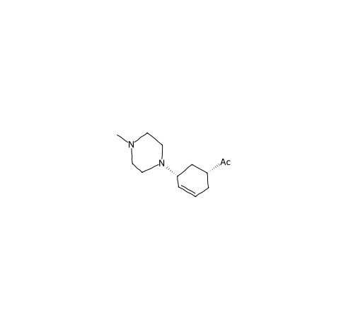 CC(=O)[C@@H]1CC=C[C@H](N2CCN(C)CC2)C1